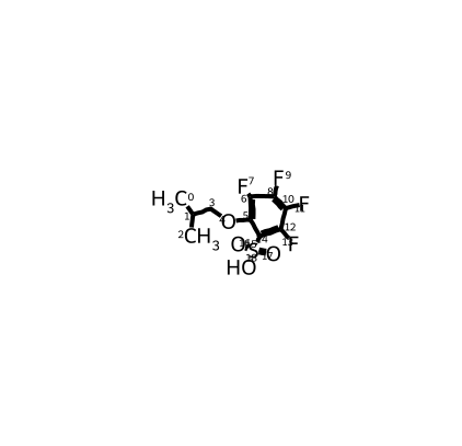 CC(C)COc1c(F)c(F)c(F)c(F)c1S(=O)(=O)O